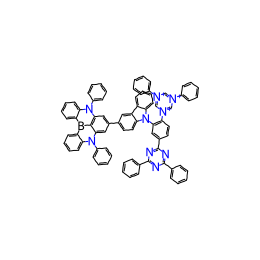 c1ccc(-c2nc(-c3ccccc3)nc(-c3ccc(-[n+]4c[n+](-c5ccccc5)c[n+](-c5ccccc5)c4)c(-n4c5ccccc5c5cc(-c6cc7c8c(c6)N(c6ccccc6)c6ccccc6B8c6ccccc6N7c6ccccc6)ccc54)c3)n2)cc1